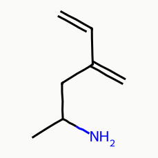 C=CC(=C)CC(C)N